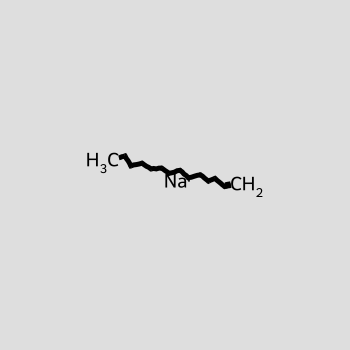 C=CCCCCCCCCCCCC.[Na]